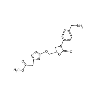 COC(=O)Cc1cc(OCC2CN(c3ccc(CN)cc3)C(=O)O2)cs1